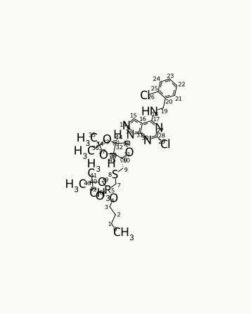 CCCCOP(=O)(CSC[C@H]1O[C@@H](n2ncc3c(NCc4ccccc4Cl)nc(Cl)nc32)[C@@H]2OC(C)(C)O[C@@H]21)OC(C)(C)C